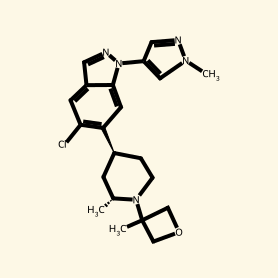 C[C@@H]1C[C@@H](c2cc3c(cnn3-c3cnn(C)c3)cc2Cl)CCN1C1(C)COC1